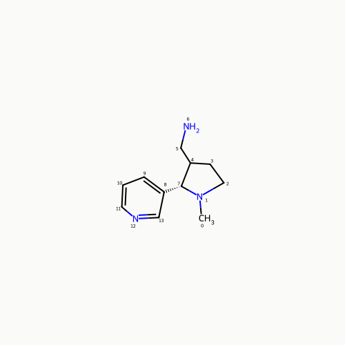 CN1CCC(CN)[C@H]1c1cccnc1